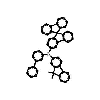 CC1(C)c2ccccc2-c2ccc(N(c3cccc(-c4ccccc4)c3)c3ccc4c(c3)-c3ccccc3C43c4ccccc4-c4ccccc43)cc21